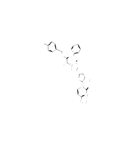 C[C@H](NP(=O)(OC[C@@H]1C[C@H](F)[C@H](n2ccc(N)nc2=O)S1)Oc1ccccc1)C(=O)OCc1ccc(F)cc1